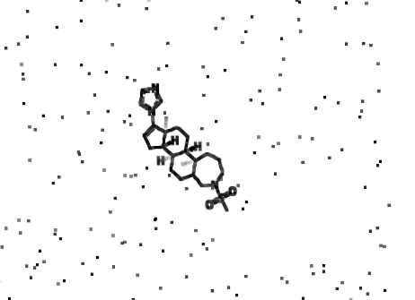 C[C@]12CCCN(S(C)(=O)=O)CC1CC[C@@H]1[C@@H]2CC[C@]2(C)C(n3ccnc3)=CC[C@@H]12